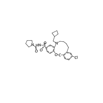 O=C(NS(=O)(=O)c1ccc2c(c1)N(CC1CCC1)CCCCc1cc(Cl)ccc1CO2)N1CCCC1